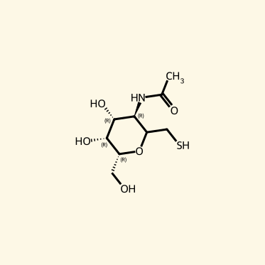 CC(=O)N[C@H]1C(CS)O[C@H](CO)[C@H](O)[C@@H]1O